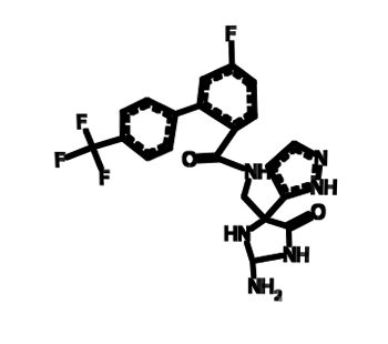 NC1NC(=O)C(CNC(=O)c2ccc(F)cc2-c2ccc(C(F)(F)F)cc2)(c2ccn[nH]2)N1